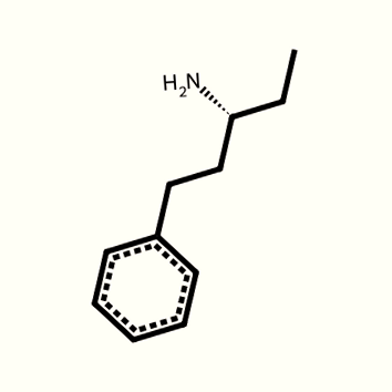 CC[C@@H](N)CCc1ccccc1